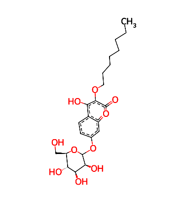 CCCCCCCCOc1c(O)c2ccc(OC3O[C@H](CO)[C@@H](O)[C@H](O)[C@@H]3O)cc2oc1=O